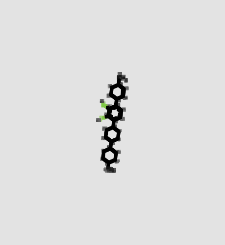 CCCCC1CCC(C2CCC(c3ccc(C4C=CC(C)CC4)c(F)c3F)CC2)CC1